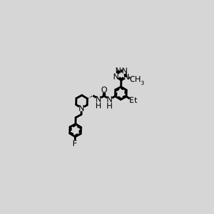 CCc1cc(NC(=O)NC[C@H]2CCCN(CCc3ccc(F)cc3)C2)cc(-c2nnnn2C)c1